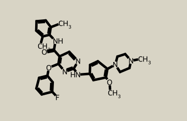 COc1cc(Nc2ncc(C(=O)Nc3c(C)cccc3C)c(Oc3cccc(F)c3)n2)ccc1N1CCN(C)CC1